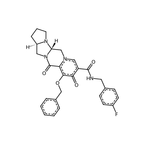 O=C(NCc1ccc(F)cc1)c1cn2c(c(OCc3ccccc3)c1=O)C(=O)N1C[C@H]3CCCN3[C@@H]1C2